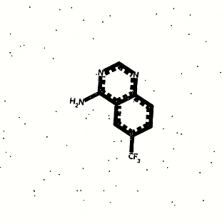 Nc1ncnc2ccc(C(F)(F)F)cc12